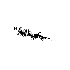 CCC(O)COC(=O)c1ccc(C(=O)OCC(O)CSC(=O)C(O)C(O)C(=O)SC)cc1